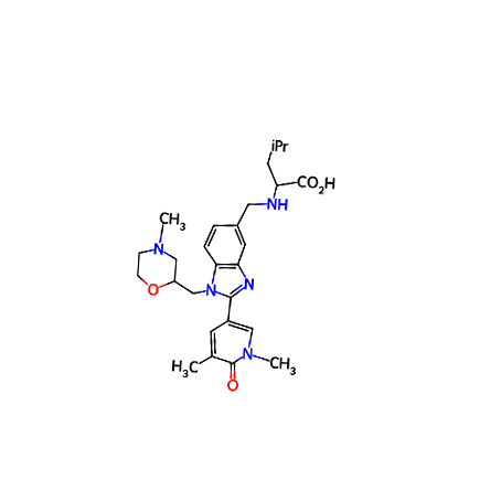 Cc1cc(-c2nc3cc(CNC(CC(C)C)C(=O)O)ccc3n2CC2CN(C)CCO2)cn(C)c1=O